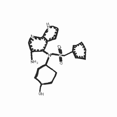 Nc1cnc2[nH]ccc2c1N(C1CCC(O)CC1)S(=O)(=O)c1ccccc1